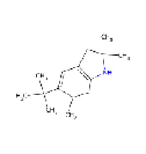 CC1CC2=C(C=C1C(C)(C)C)CC(C)(C)N2